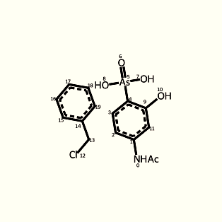 CC(=O)Nc1ccc([As](=O)(O)O)c(O)c1.ClCc1ccccc1